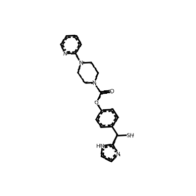 O=C(Oc1ccc(C(S)c2ncc[nH]2)cc1)N1CCN(c2ccccn2)CC1